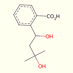 CC(C)(O)CC(O)c1ccccc1C(=O)O